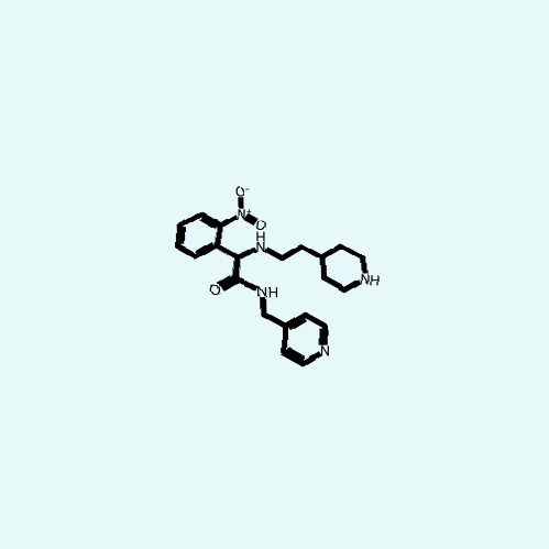 O=C(NCc1ccncc1)C(NCCC1CCNCC1)c1ccccc1[N+](=O)[O-]